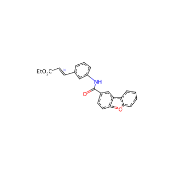 CCOC(=O)/C=C/c1cccc(NC(=O)c2ccc3oc4ccccc4c3c2)c1